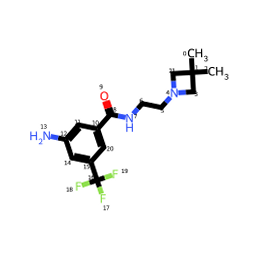 CC1(C)CN(CCNC(=O)c2cc(N)cc(C(F)(F)F)c2)C1